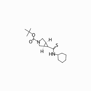 CC(C)(C)OC(=O)N1C[C@@H]2C(C(=S)NC3CCCCC3)[C@@H]2C1